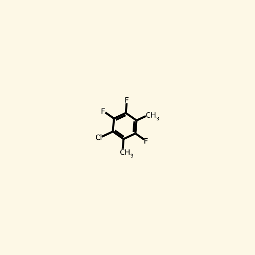 Cc1c(F)c(C)c(Cl)c(F)c1F